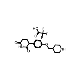 O=C(O)C(F)(F)F.O=C1CCC(c2ccc(OCC3CCNCC3)cc2)C(=O)N1